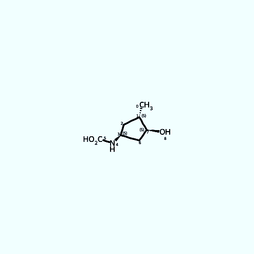 C[C@H]1C[C@H](NC(=O)O)C[C@@H]1O